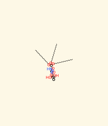 CCCCCCCCCCCCCCCCCCOc1cc(C(=O)Nc2ccn([C@H]3C[C@@](O)([Si](c4ccccc4)(C(C)C)C(C)C)[C@@H](CO)O3)c(=O)n2)cc(OCCCCCCCCCCCCCCCCCC)c1OCCCCCCCCCCCCCCCCCC